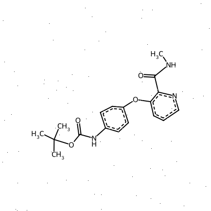 CNC(=O)c1ncccc1Oc1ccc(NC(=O)OC(C)(C)C)cc1